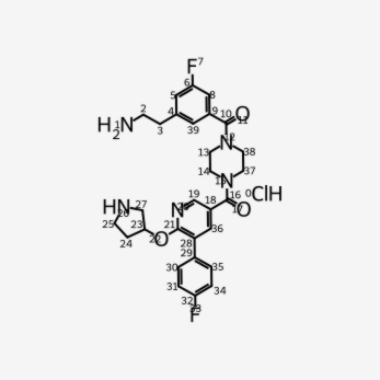 Cl.NCCc1cc(F)cc(C(=O)N2CCN(C(=O)c3cnc(OC4CCNC4)c(-c4ccc(F)cc4)c3)CC2)c1